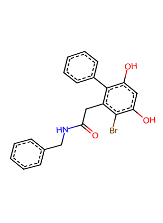 O=C(Cc1c(Br)c(O)cc(O)c1-c1ccccc1)NCc1ccccc1